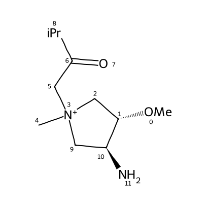 CO[C@H]1C[N+](C)(CC(=O)C(C)C)C[C@@H]1N